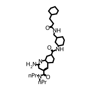 CCCN(CCC)C(=O)C1=CC2CCC(C(=O)NC3CCCC(CNC(=O)CCC4CCCCC4)C3)CC2N=C(N)C1